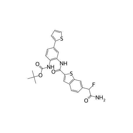 CC(C)(C)OC(=O)Nc1ccc(-c2cccs2)cc1NC(=O)c1cc2ccc(C(F)C(N)=O)cc2s1